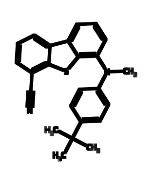 CN(c1ccc(C(C)(C)C)cc1)c1cccc2c1sc1c(C#N)cccc12